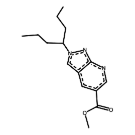 CCCC(CCC)n1cc2cc(C(=O)OC)cnc2n1